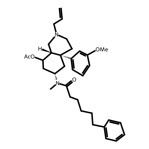 C=CCN1CC[C@@]2(c3cccc(OC)c3)C[C@H](N(C)C(=O)CCCCCc3ccccc3)CC(OC(C)=O)[C@@H]2C1